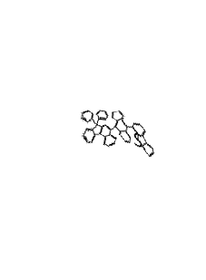 c1ccc(C2(c3ccccc3)c3ccccc3-c3c2cc(-c2c4ccccc4c(-c4cccc5c4sc4ccccc45)c4ccccc24)c2ccccc32)cc1